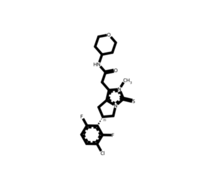 Cn1c(CC(=O)NC2CCOCC2)c2n(c1=S)C[C@H](c1c(F)ccc(Cl)c1F)C2